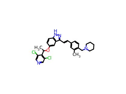 Cc1cc(/C=C/c2n[nH]c3ccc(OC(C)c4c(Cl)cncc4Cl)cc23)ccc1CN1CCCCC1